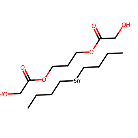 CCC[CH2][Sn][CH2]CCC.O=C(CO)OCCCOC(=O)CO